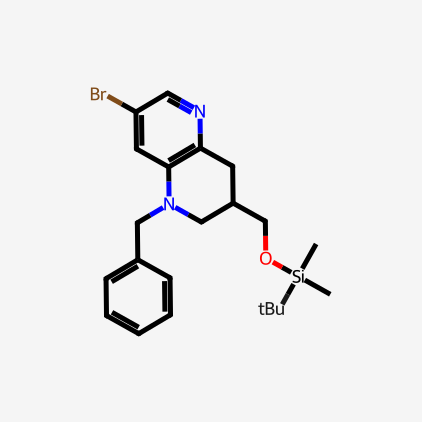 CC(C)(C)[Si](C)(C)OCC1Cc2ncc(Br)cc2N(Cc2ccccc2)C1